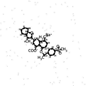 Cc1c(-c2cc(C(=O)[O-])c3c(O[C@H](C)c4ccc(S(C)(=O)=O)cc4)ccc(C)c3n2)oc2ccccc12.[Na+]